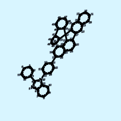 c1ccc(-c2nc3ccccc3n2-c2ccc(-c3ccc4c5c(ccc4c3)-c3cc4ccccc4cc3C53c4ccccc4-c4ccccc43)cc2)cc1